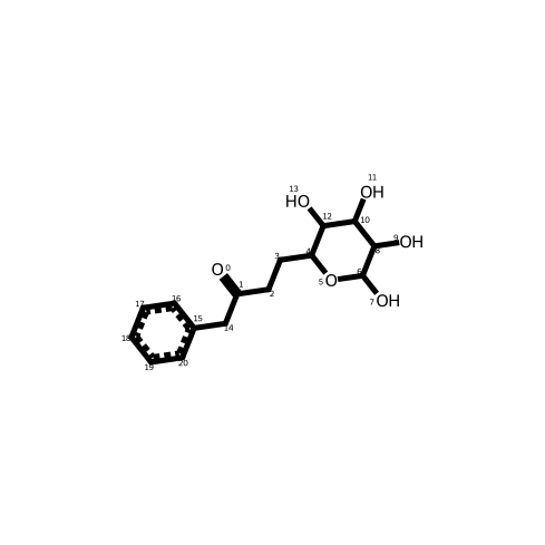 O=C(CCC1OC(O)C(O)C(O)C1O)Cc1ccccc1